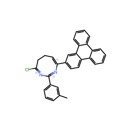 Cc1cccc(C2=N/C(c3ccc4c5ccccc5c5ccccc5c4c3)=C\CC/C(Cl)=N\2)c1